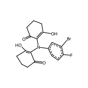 O=C1CCCC(O)=C1N(C1=C(O)CCCC1=O)c1ccc(F)c(Br)c1